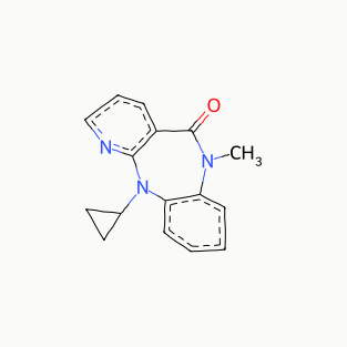 CN1C(=O)c2cccnc2N(C2CC2)c2ccccc21